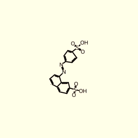 O=S(=O)(O)c1ccc(N=Nc2cc[c]c3ccc(S(=O)(=O)O)cc23)cc1